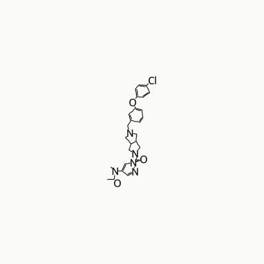 CC(=O)N(C)c1cnn(C(=O)N2CC3CN(Cc4cccc(Oc5ccc(Cl)cc5)c4)CC3C2)c1